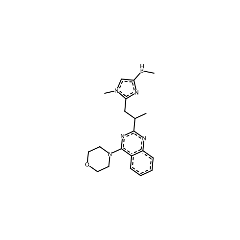 CBc1cn(C)c(CC(C)c2nc(N3CCOCC3)c3ccccc3n2)n1